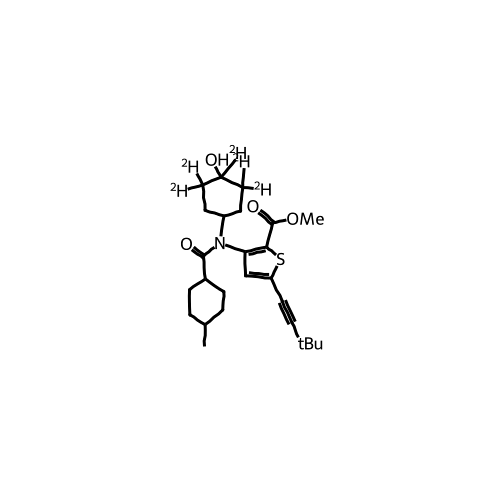 [2H]C1([2H])CC(N(C(=O)C2CCC(C)CC2)c2cc(C#CC(C)(C)C)sc2C(=O)OC)CC([2H])([2H])C1([2H])O